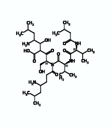 CC(C)CC(=O)N[C@H](C(=O)N[C@H](C(=O)N(C(=O)CCC(N)CC(C)C)[C@@H](CO)C(=O)C(C(=O)O)C(O)C(N)CC(C)C)C(C)C)C(C)C